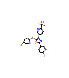 CC(C)(O)c1ccc(-c2nc(-c3ccc(F)c(F)c3)oc2Sc2ccc(Cl)cn2)cn1